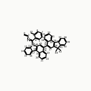 C=C/N=C(\c1ccccc1C)n1c2ccccc2c2c3ccccc3c(-c3cc4c(c5ccccc35)-c3ccccc3C4(C)C)cc21